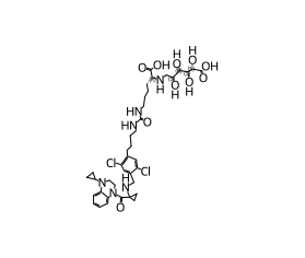 O=C(NCCCCc1cc(Cl)c(CNC2(C(=O)N3CCN(C4CC4)c4ccccc43)CC2)cc1Cl)NCCCC[C@@H](NC[C@H](O)[C@@H](O)[C@H](O)[C@H](O)C(=O)O)C(=O)O